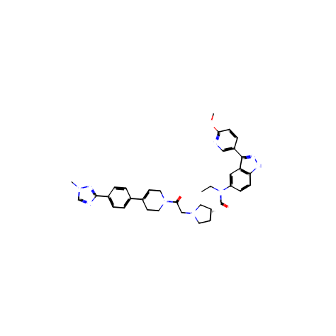 CCN(C(=O)[C@@H]1CCN(CC(=O)N2CC=C(c3ccc(-c4ncn(C)n4)cc3)CC2)C1)c1ccc2[nH]nc(-c3ccc(OC)nc3)c2c1